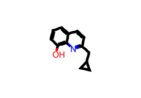 Oc1cccc2ccc(CC3CC3)nc12